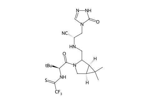 CC(C)(C)[C@H](NC(=S)C(F)(F)F)C(=O)N1C[C@H]2[C@@H](C1CN[C@H](C#N)Cn1cn[nH]c1=O)C2(C)C